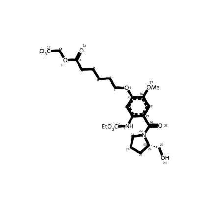 CCOC(=O)Nc1cc(OCCCCCC(=O)OCC(Cl)(Cl)Cl)c(OC)cc1C(=O)N1CCC[C@H]1CO